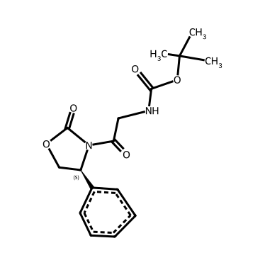 CC(C)(C)OC(=O)NCC(=O)N1C(=O)OC[C@@H]1c1ccccc1